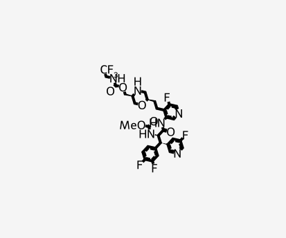 COC(=O)N[C@H](C(=O)Nc1cncc(F)c1CC[C@@H]1CN[C@H](COC(=O)NCC(F)(F)F)CO1)[C@H](c1cncc(F)c1)c1ccc(F)c(F)c1